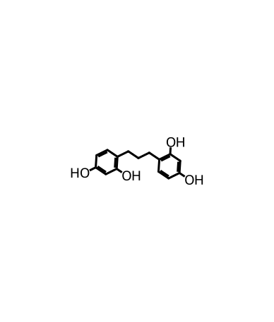 Oc1ccc(CCCc2ccc(O)cc2O)c(O)c1